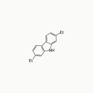 CCc1ccc2c(c1)[nH]c1cc(CC)ccc12